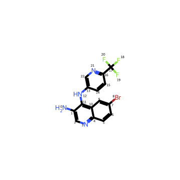 Nc1cnc2ccc(Br)cc2c1Nc1ccc(C(F)(F)F)nc1